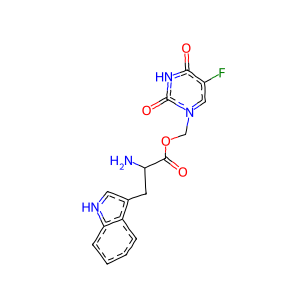 NC(Cc1c[nH]c2ccccc12)C(=O)OCn1cc(F)c(=O)[nH]c1=O